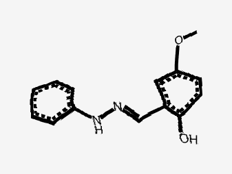 COc1ccc(O)c(/C=N/Nc2ccccc2)c1